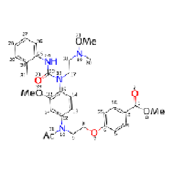 COC(=O)c1ccc(OCCN(C(C)=O)c2ccc(N(CCN(C)OC)C(=O)Nc3ccccc3C)c(OC)c2)cc1